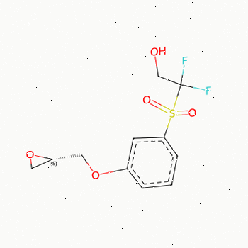 O=S(=O)(c1cccc(OC[C@@H]2CO2)c1)C(F)(F)CO